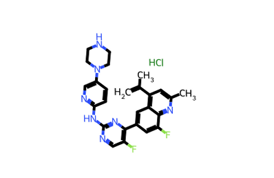 C=C(C)c1cc(C)nc2c(F)cc(-c3nc(Nc4ccc(N5CCNCC5)cn4)ncc3F)cc12.Cl